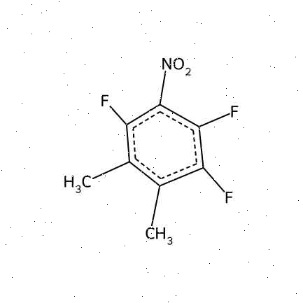 Cc1c(C)c(F)c([N+](=O)[O-])c(F)c1F